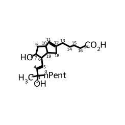 CCCCCC(C)(O)C=CC1C(O)CC2C=C(CCCCC(=O)O)CC21